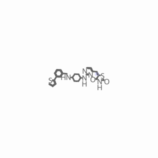 O=C1NC(=O)/C(=C\c2ccnc(NC3CCC(NCc4cccc(-c5cccs5)c4)CC3)n2)S1